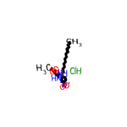 CCCCCCCCCCCCCCSc1ccc([N+](=O)[O-])cc1NC(=N)CC(=O)OCC.Cl